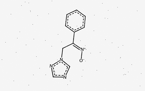 [O-][N+]=C(Cn1cncn1)c1ccccc1